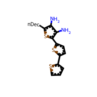 CCCCCCCCCCc1sc(-c2ccc(-c3cccs3)s2)c(N)c1N